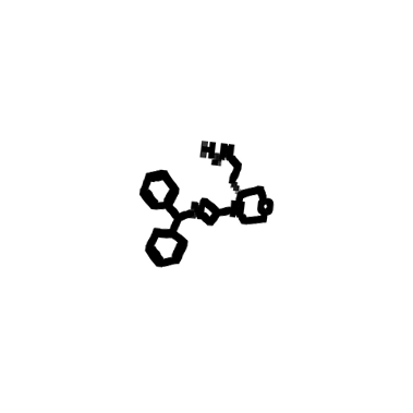 NCC[C@@H]1COCCN1C1CN(C(c2ccccc2)c2ccccc2)C1